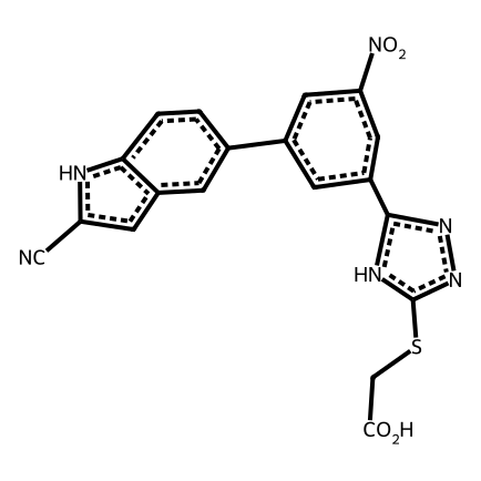 N#Cc1cc2cc(-c3cc(-c4nnc(SCC(=O)O)[nH]4)cc([N+](=O)[O-])c3)ccc2[nH]1